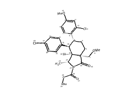 COC[C@@]12CC[C@@H](c3ccc(OC)cc3Cl)[C@H](c3ccc(Cl)cc3)[C@@H]1[C@@H](C)N(C(=O)OC(C)(C)C)C2=O